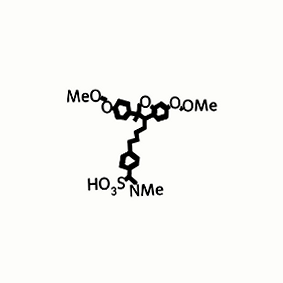 CNCC(c1ccc(CCCCC2c3ccc(OCOC)cc3OCC2(C)c2ccc(OCOC)cc2)cc1)S(=O)(=O)O